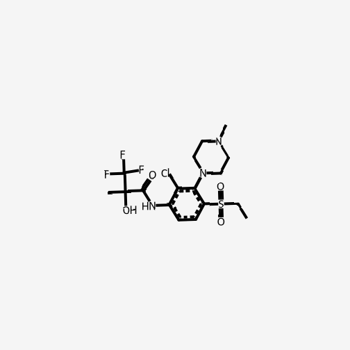 CCS(=O)(=O)c1ccc(NC(=O)C(C)(O)C(F)(F)F)c(Cl)c1N1CCN(C)CC1